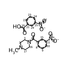 CN1CCN(C(=O)c2cccc([N+](=O)[O-])c2)CC1.O=C(O)c1cccc([N+](=O)[O-])c1